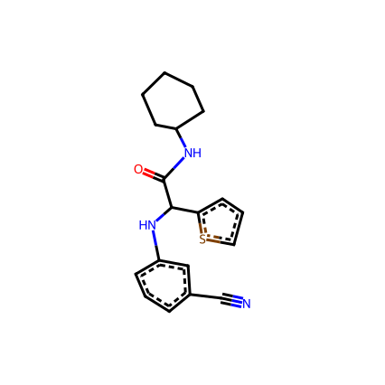 N#Cc1cccc(NC(C(=O)NC2CCCCC2)c2cccs2)c1